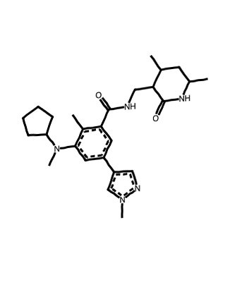 Cc1c(C(=O)NCC2C(=O)NC(C)CC2C)cc(-c2cnn(C)c2)cc1N(C)C1CCCC1